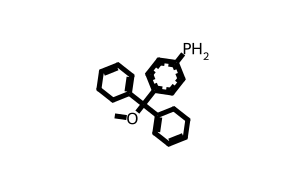 COC(C1=CC=CCC1)(C1=CC=CCC1)c1ccc(P)cc1